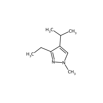 CCc1nn(C)cc1C(C)C